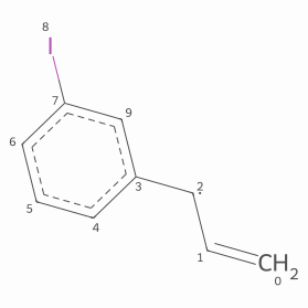 C=C[CH]c1cccc(I)c1